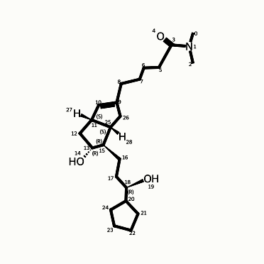 CN(C)C(=O)CCCCC1=C[C@H]2C[C@@H](O)[C@H](CC[C@@H](O)C3CCCC3)[C@H]2C1